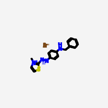 C[n+]1ccsc1/N=N/c1ccc(NCc2ccccc2)cc1.[Br-]